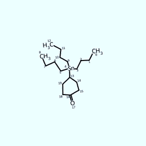 CCC[CH2][Sn]([CH2]CCC)([CH2]CCC)[CH]1CCC(=O)CC1